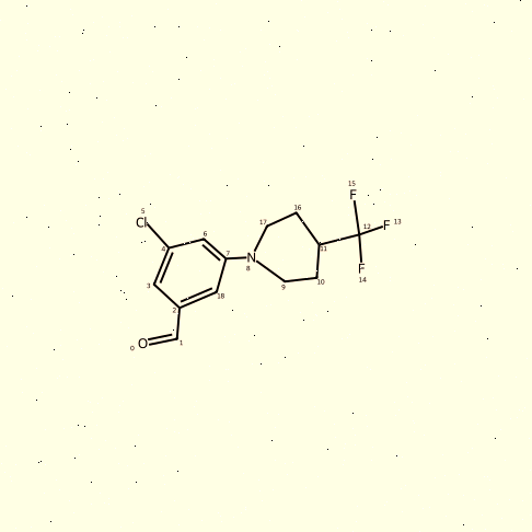 O=Cc1cc(Cl)cc(N2CCC(C(F)(F)F)CC2)c1